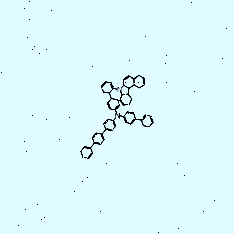 C1=CCCC(c2ccc(N(C3=CCC(C4CC=CC=C4N4C5C=CCCC5C5C6CC=CCC6C=CC54)C=C3)c3ccc(-c4ccc(C5=CCCC=C5)cc4)cc3)cc2)=C1